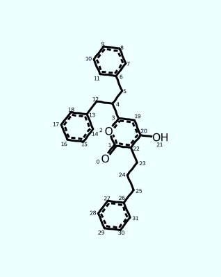 O=c1oc(C(Cc2ccccc2)Cc2ccccc2)cc(O)c1CCCc1ccccc1